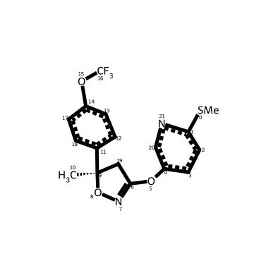 CSc1ccc(OC2=NO[C@@](C)(c3ccc(OC(F)(F)F)cc3)C2)cn1